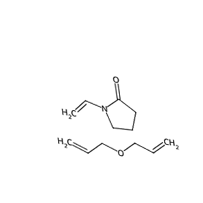 C=CCOCC=C.C=CN1CCCC1=O